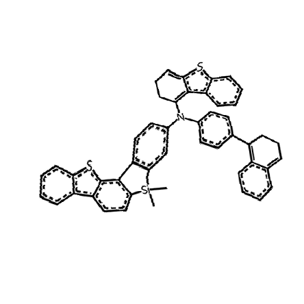 C[Si]1(C)c2cc(N(C3=c4c(sc5ccccc45)=CCC3)c3ccc(C4=c5ccccc5=CCC4)cc3)ccc2-c2c1ccc1c2sc2ccccc21